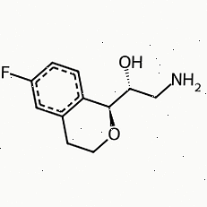 NC[C@@H](O)[C@H]1OCCc2cc(F)ccc21